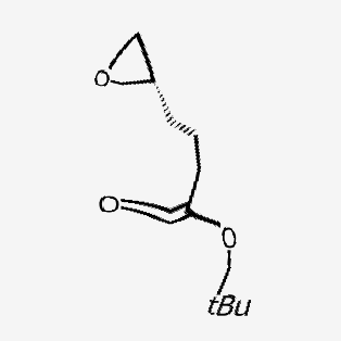 CC(C)(C)OC(=O)C[C@H]1CO1